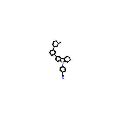 CC1C=C(c2cccc(-c3ccc4c(c3)c3c(n4-c4ccc(C#N)cc4)=CCCC=3)c2)C=CC1